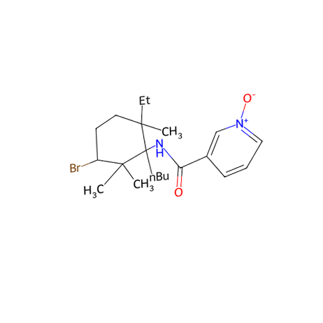 CCCCC1(NC(=O)c2ccc[n+]([O-])c2)C(C)(CC)CCC(Br)C1(C)C